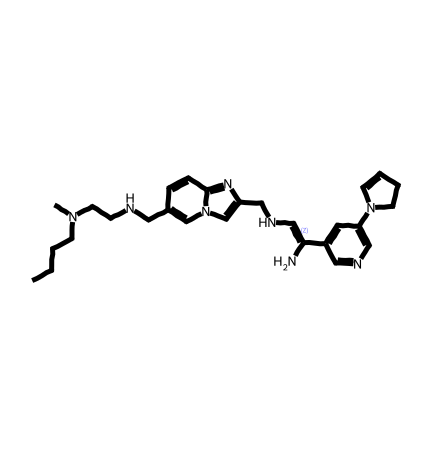 CCCCN(C)CCNCc1ccc2nc(CN/C=C(\N)c3cncc(N4C=CCC4)c3)cn2c1